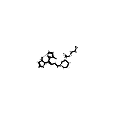 Cc1ccsc1/C(=C\CCN1CCC[C@@H](C(=O)OCCBr)C1)C1SC=CC1C